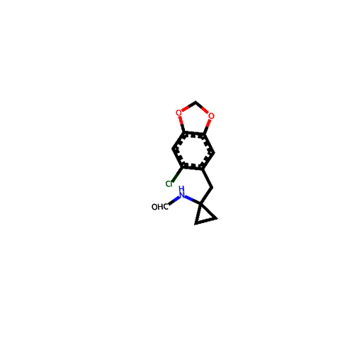 O=CNC1(Cc2cc3c(cc2Cl)OCO3)CC1